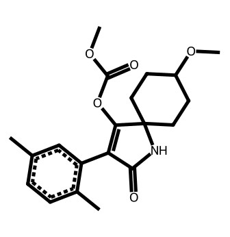 COC(=O)OC1=C(c2cc(C)ccc2C)C(=O)NC12CCC(OC)CC2